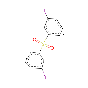 O=S(=O)(c1cccc(I)c1)c1cccc(I)c1